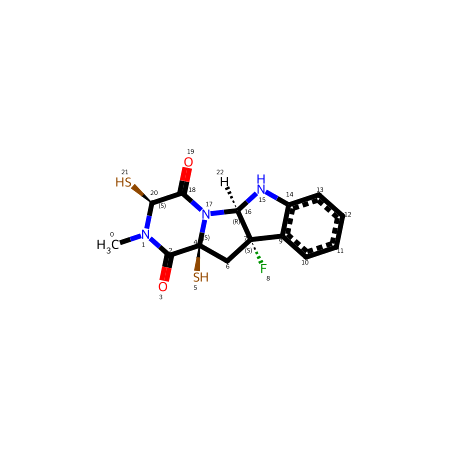 CN1C(=O)[C@@]2(S)C[C@]3(F)c4ccccc4N[C@@H]3N2C(=O)[C@@H]1S